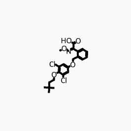 CON=C(C(=O)O)c1ccccc1COc1cc(Cl)c(OCCC(C)(C)C)c(Cl)c1